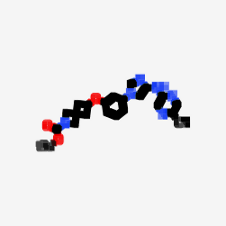 CC(C)(C)OC(=O)N1CC2(CC(Oc3cccc(-n4cnc(Nc5cnc(C#N)cn5)c4)c3)C2)C1